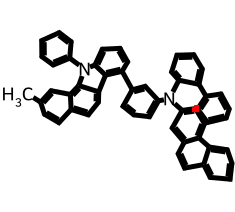 Cc1ccc2ccc3c4c(-c5cccc(N(c6ccc7c(ccc8ccccc87)c6)c6ccccc6-c6ccccc6)c5)cccc4n(-c4ccccc4)c3c2c1